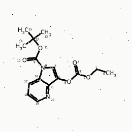 CCOC(=O)Oc1cn(C(=O)OC(C)(C)C)c2cccnc12